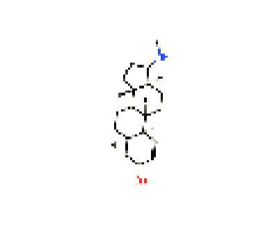 CN[C@@H]1CC[C@H]2[C@@H]3CC[C@@H]4C[C@@H](O)C=C[C@]4(C)[C@H]3CC[C@]12C